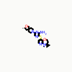 C[C@H]1CC2(CCN(c3cnc(Sc4ccnc5c4OCCC4(CC4)N5C)c(N)n3)CC2)CO1